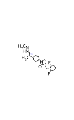 C=NN/C=C(\C)c1ccc(N2CCC(Cc3c(F)cccc3F)C2=O)cc1